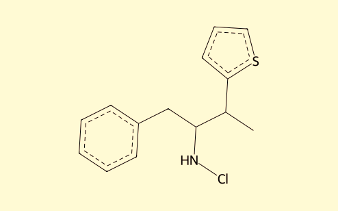 CC(c1cccs1)C(Cc1ccccc1)NCl